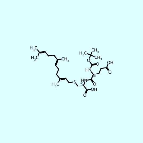 CC(C)=CCCC(C)=CCCC(C)=CCSC[C@H](NC(=O)[C@H](CCC(=O)O)NC(=O)OC(C)(C)C)C(=O)O